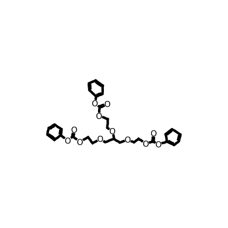 O=C(OCCOCC(COCCOC(=O)Oc1ccccc1)OCCOC(=O)Oc1ccccc1)Oc1ccccc1